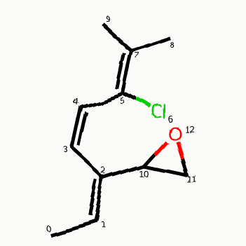 C/C=C(\C=C/C(Cl)=C(C)C)C1CO1